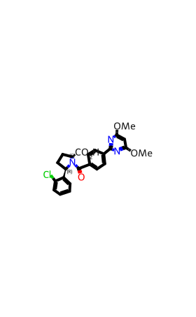 COc1cc(OC)nc(-c2ccc(C(=O)N3[C@@H](c4ccccc4Cl)CC[C@H]3C(=O)O)cc2)n1